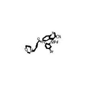 N#Cc1cnc2ccc(NC(=O)C#CCN3CCOCC3)cc2c1Nc1cccc(Br)c1